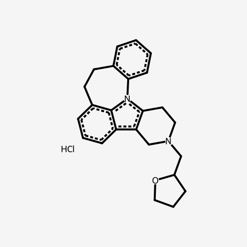 Cl.c1ccc2c(c1)CCc1cccc3c4c(n-2c13)CCN(CC1CCCO1)C4